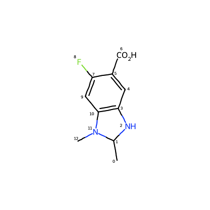 CC1Nc2cc(C(=O)O)c(F)cc2N1C